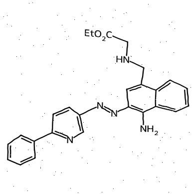 CCOC(=O)CNCc1cc(/N=N/c2ccc(-c3ccccc3)nc2)c(N)c2ccccc12